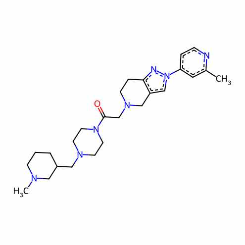 Cc1cc(-n2cc3c(n2)CCN(CC(=O)N2CCN(CC4CCCN(C)C4)CC2)C3)ccn1